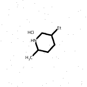 CCC1CCC(C)NC1.Cl